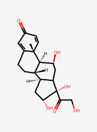 C[C@]12C=CC(=O)C=C1CC[C@@H]1[C@@H]2[C@@H](O)CC2[C@H]1C[C@@H](O)[C@]2(O)C(=O)CO